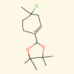 CC1(Cl)CC=C(B2OC(C)(C)C(C)(C)O2)CC1